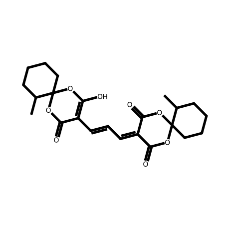 CC1CCCCC12OC(=O)C(=CC=CC1=C(O)OC3(CCCCC3C)OC1=O)C(=O)O2